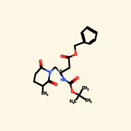 CC1CCC(=O)N(C[C@H](CC(=O)OCc2ccccc2)NC(=O)OC(C)(C)C)C1=O